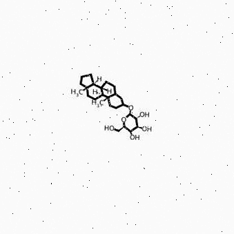 C[C@@]12CCC[C@H]1[C@@H]1CCC3CC(O[C@@H]4O[C@H](CO)[C@H](O)[C@H](O)[C@H]4O)CC[C@]3(C)[C@H]1CC2